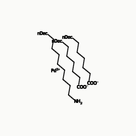 CCCCCCCCCCCCCCCC(=O)[O-].CCCCCCCCCCCCCCCC(=O)[O-].CCCCCCCCCCCCCCCCCCN.[Pd+2]